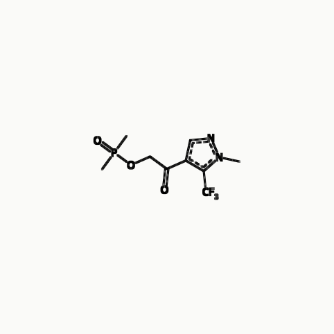 Cn1ncc(C(=O)COP(C)(C)=O)c1C(F)(F)F